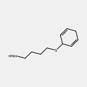 CCCCCCCCCCSC1C=CCC=C1